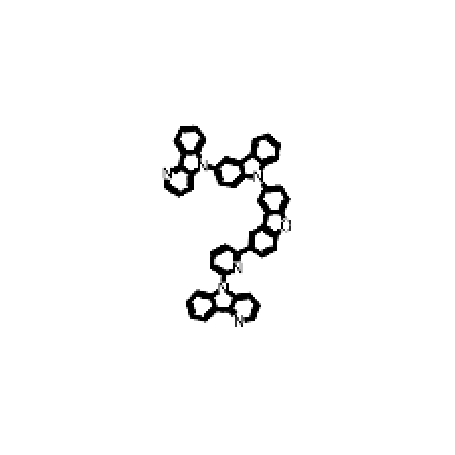 c1cc(-c2ccc3oc4ccc(-n5c6ccccc6c6cc(-n7c8ccccc8c8ncccc87)ccc65)cc4c3c2)nc(-n2c3ccccc3c3ncccc32)c1